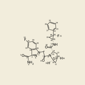 NC(=O)c1nn(CC(=O)N2[C@@H]3C[C@@H]3C[C@H]2C(=O)N[C@@H]2C[C@@]2(F)c2ccccc2)c2ccc(F)cc12